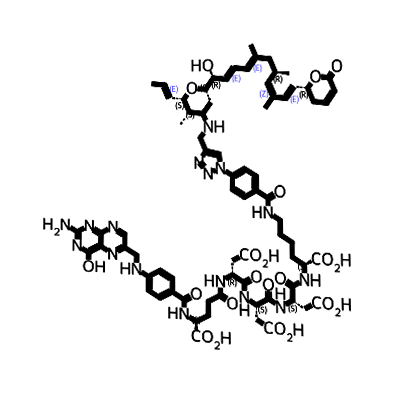 C/C=C/[C@@H]1O[C@H]([C@H](O)/C=C/C=C(\C)C[C@@H](C)/C=C(C)\C=C\[C@H]2CC=CC(=O)O2)CC(NCc2cn(-c3ccc(C(=O)NCCCC[C@H](NC(=O)[C@H](CC(=O)O)NC(=O)[C@H](CC(=O)O)NC(=O)[C@@H](CC(=O)O)NC(=O)CC[C@H](NC(=O)c4ccc(NCc5cnc6nc(N)nc(O)c6n5)cc4)C(=O)O)C(=O)O)cc3)nn2)[C@@H]1C